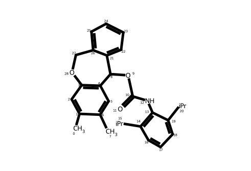 Cc1cc2c(cc1C)C(OC(=O)Nc1c(C(C)C)cccc1C(C)C)c1ccccc1CO2